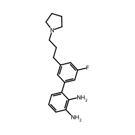 Nc1cccc(-c2cc(F)cc(CCCN3CCCC3)c2)c1N